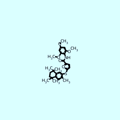 COc1cc(OC)c(NC(=O)c2ccc(Sc3cc4c(cc3C)C(C)(C)CCC4(C)C)o2)c(OC)c1